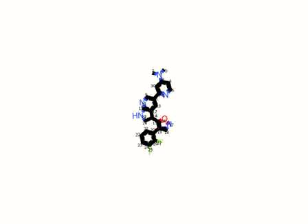 CN(C)c1ccnc(-c2cnc3c(c2)C(c2oncc2-c2cccc(F)c2F)CN3)c1